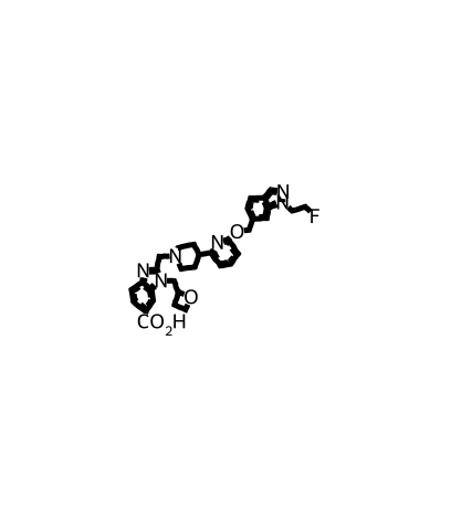 O=C(O)c1ccc2nc(CN3CCC(c4cccc(OCc5ccc6cnn(CCF)c6c5)n4)CC3)n(CC3CCO3)c2c1